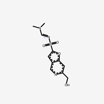 CN(C)/C=N/S(=O)(=O)c1cc2cnc(CO)cc2o1